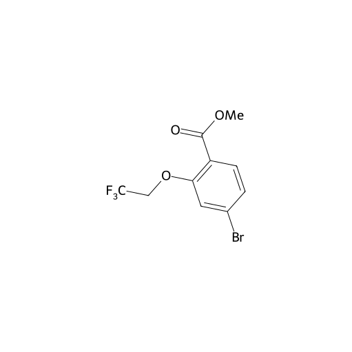 COC(=O)c1ccc(Br)cc1OCC(F)(F)F